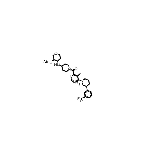 C=C(/C(C)=C(\N=C/N)C(=O)N1CCC(NC2CCOCC2OC)CC1)N1CCCC(c2cccc(C(F)(F)F)c2)C1